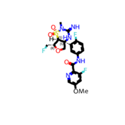 COc1cnc(C(=O)Nc2ccc(F)c([C@]34CO[C@H](CF)[C@H]3S(=O)(=O)N(C)C(=N)N4)c2)c(F)c1